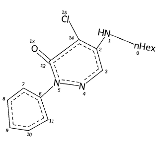 CCCCCCNc1cnn(-c2ccccc2)c(=O)c1Cl